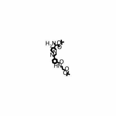 CC(C)(C)OC(=O)CCNC(=O)c1cccc(-c2cn3cc(C(N)C(=O)OC(C)(C)C)ccc3n2)c1